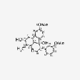 COc1ccc(C2(O)c3ccc(O)c(C)c3OCC2c2cccc(OC)c2)cc1